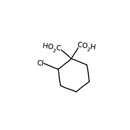 O=C(O)C1(C(=O)O)CCCCC1Cl